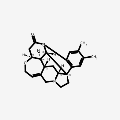 Cc1cc2c(cc1C)[C@@]13CCN4CC5=CCO[C@H]6CC(=O)N2[C@H]1[C@H]6[C@@H]5C[C@@H]43